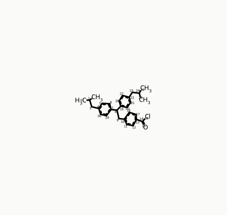 CC(C)Cc1ccc(C(Cc2ccc(C(=O)Cl)cc2)c2ccc(CC(C)C)cc2)cc1